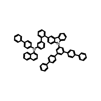 c1ccc(-c2ccc(-c3cc(-c4ccc(-c5ccccc5)cc4)cc(-n4c5ccccc5c5cc(-c6ccccc6-c6cccc(N(c7ccc(-c8ccccc8)cc7)c7cccc8ccccc78)c6)ccc54)c3)cc2)cc1